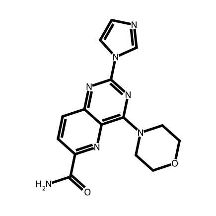 NC(=O)c1ccc2nc(-n3ccnc3)nc(N3CCOCC3)c2n1